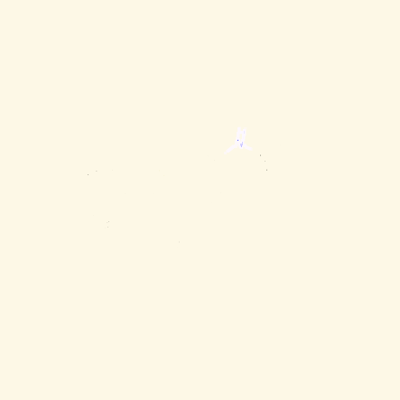 c1ccc(Nc2ccc3c(c2)sc2c4ccccc4c4ccccc4c32)cc1